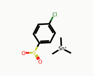 O=S([O-])c1ccc(Cl)cc1.[CH3][Sn+]([CH3])[CH3]